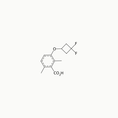 Cc1ccc(OC2CC(F)(F)C2)c(C)c1C(=O)O